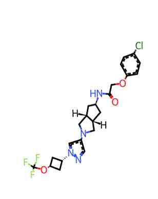 O=C(COc1ccc(Cl)cc1)N[C@H]1C[C@@H]2CN(c3cnn([C@H]4C[C@@H](OC(F)(F)F)C4)c3)C[C@@H]2C1